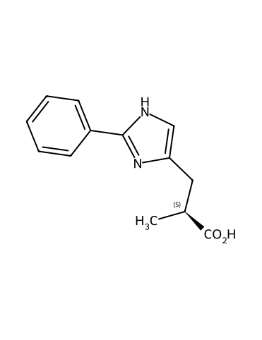 C[C@@H](Cc1c[nH]c(-c2ccccc2)n1)C(=O)O